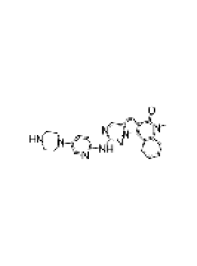 Cn1c(=O)c2cc3cnc(Nc4ccc(N5CCNCC5)cn4)nn3c2c2ccccc21